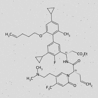 C=CCCCOc1cc(C2CC2)cc(C)c1-c1cc(C2CC2)c(F)c([C@H](CC(=O)OCC)NC(=O)[C@H](CC=C)n2cc(CCN(C)C)c(C(F)(F)F)cc2=O)c1